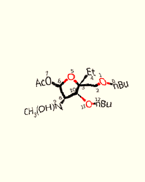 CCCCOC[C@@]1(CC)OC(OC(C)=O)[C@H](N(C)O)[C@@H]1OCCCC